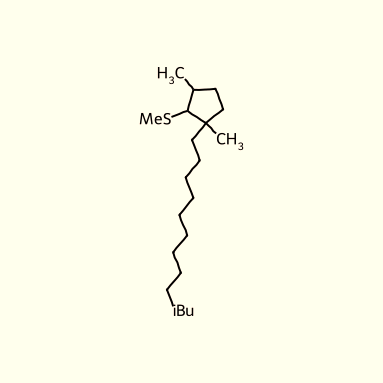 CCC(C)CCCCCCCCCC1(C)CCC(C)C1SC